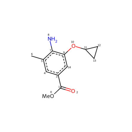 COC(=O)c1cc(C)c(N)c(OC2CC2)c1